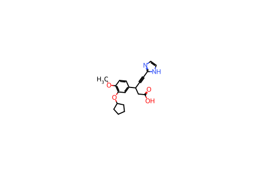 COc1ccc(C(C#Cc2ncc[nH]2)CC(=O)O)cc1OC1CCCC1